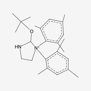 Cc1cc(C)c([N+]2(c3c(C)cc(C)cc3C)CCNC2OC(C)(C)C)c(C)c1